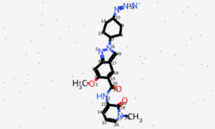 COc1cc2nn(C3CCC(N=[N+]=[N-])CC3)cc2cc1C(=O)Nc1cccn(C)c1=O